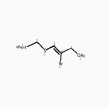 CCCCCCS/C=C(\Br)COC(C)=O